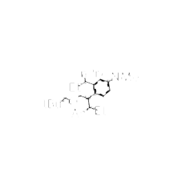 CCCC(CC)c1cc(NC)ccc1C(COCC(C)(C)C)C(CC)C(C)=O